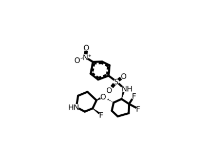 O=[N+]([O-])c1ccc(S(=O)(=O)N[C@@H]2[C@@H](O[C@@H]3CCNC[C@@H]3F)CCCC2(F)F)cc1